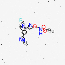 CCn1cc(-c2ccc3c(c2)C[C@@H](C)N(CC(C)(C)F)[C@@H]3c2ccc(OCCNC(=O)OC(C)(C)C)nc2)cn1